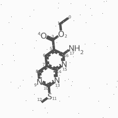 CCOC(=O)c1cc2cnc(SC)nc2nc1N